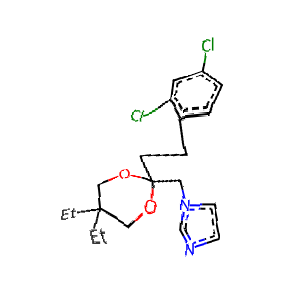 CCC1(CC)COC(CCc2ccc(Cl)cc2Cl)(Cn2ccnc2)OC1